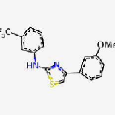 COc1cccc(-c2csc(Nc3cccc(C(F)(F)F)c3)n2)c1